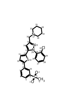 CS(=O)(=O)c1cccc(-c2ccc(-c3cc(CN4CCCCC4)nn3-c3ccccc3Cl)s2)c1